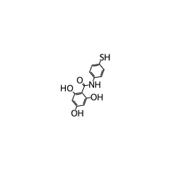 O=C(Nc1ccc(S)cc1)c1c(O)cc(O)cc1O